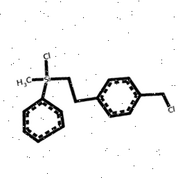 C[Si](Cl)(CCc1ccc(CCl)cc1)c1ccccc1